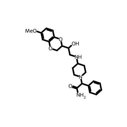 COc1ccc2c(c1)OCC(C(O)CNC1CCN(C(C(N)=O)c3ccccc3)CC1)O2